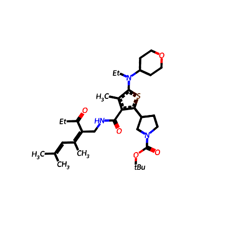 CCC(=O)/C(CNC(=O)c1c(C2CCN(C(=O)OC(C)(C)C)C2)sc(N(CC)C2CCOCC2)c1C)=C(/C)C=C(C)C